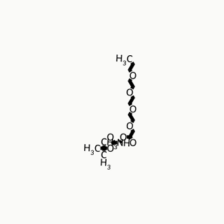 CCCOCCOCCOCCOCC(=O)ONC(=O)OC(C)(C)C